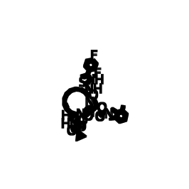 Cc1cccc2c1CN(C(=O)O[C@@H]1C[C@H]3C(=O)N[C@]4(C(=O)NS(=O)(=O)C5CC5)C[C@H]4/C=C\CCCCC[C@H](NC4NC(c5ccc(F)cc5F)=CS4)C(=O)N3C1)C2